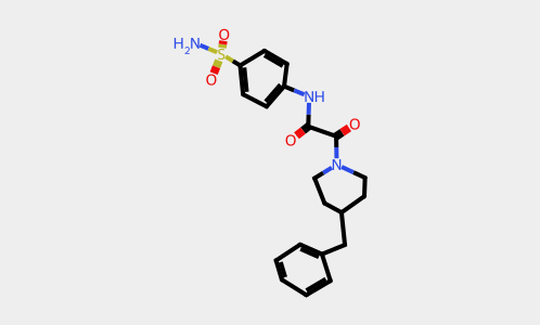 NS(=O)(=O)c1ccc(NC(=O)C(=O)N2CCC(Cc3ccccc3)CC2)cc1